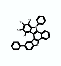 [2H]c1c([2H])c([2H])c2c(c1[2H])c1c3c4cc(-c5ccccc5)ccc4sc3c3ccccc3c1n2-c1ccccc1